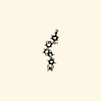 N#Cc1ccc(NC(=O)CC(CO)N2CCOC3(CCN(c4ccc(OC(F)(F)F)cc4)C3)C2)cc1